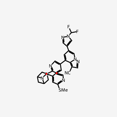 CSc1cc(CN2C3CC2CN(c2ccc(-c4cc(-c5cnn(C(F)F)c5)cn5ncc(C#N)c45)cn2)C3)ccn1